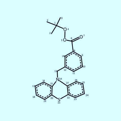 CC(C)(C)OOC(=O)c1cccc(CN2c3ccccc3Sc3ccccc32)c1